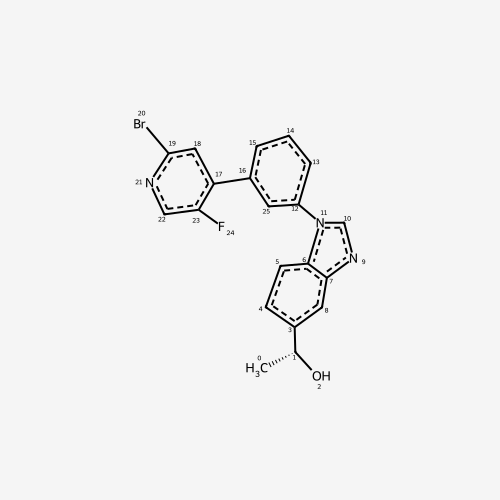 C[C@@H](O)c1ccc2c(c1)ncn2-c1cccc(-c2cc(Br)ncc2F)c1